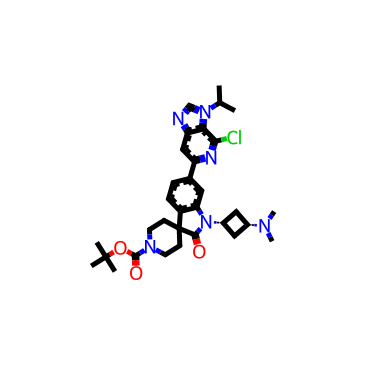 CC(C)n1cnc2cc(-c3ccc4c(c3)N([C@H]3C[C@@H](N(C)C)C3)C(=O)C43CCN(C(=O)OC(C)(C)C)CC3)nc(Cl)c21